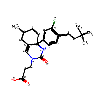 CC1CCC2(c3ccc(CCC(C)(C)C)c(Cl)c3)NC(=O)N(CCC(=O)O)C=C2C1